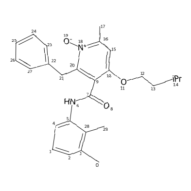 Cc1cccc(NC(=O)c2c(OCCC(C)C)cc(C)[n+]([O-])c2Cc2ccccc2)c1C